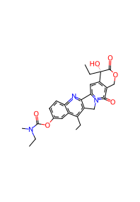 CCc1c2c(nc3ccc(OC(=O)N(C)CC)cc13)-c1cc3c(c(=O)n1C2)COC(=O)[C@]3(O)CC